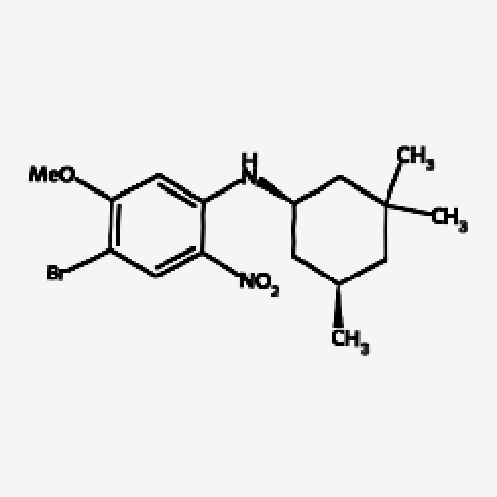 COc1cc(N[C@@H]2C[C@H](C)CC(C)(C)C2)c([N+](=O)[O-])cc1Br